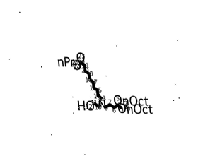 CCCCCCCCC(CCCCCCCC)OC(=O)CCCN(CCO)CCCCCCCCCC(=O)OCCC